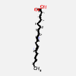 CCCCC/C=C/C/C=C/CCCCCCCC(=O)O